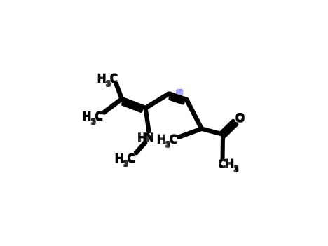 CNC(/C=C\C(C)C(C)=O)=C(C)C